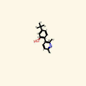 Cc1ccc(-c2ccc(C(C)(C)C)cc2O)c(C)n1